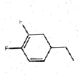 CCC1C=CC(F)=C(F)C1